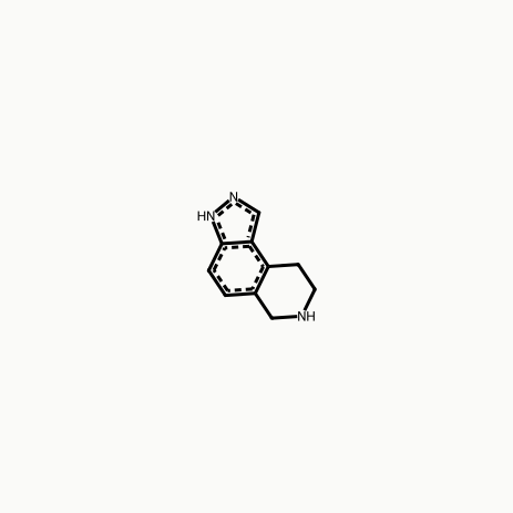 c1cc2[nH]ncc2c2c1CNCC2